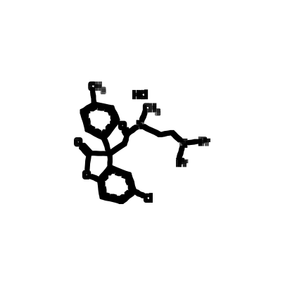 Cc1ccc(C2(CC(=O)N(C)CCN(C(C)C)C(C)C)C(=O)Oc3ccc(Cl)cc32)cc1.Cl